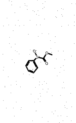 COC(=O)[S+]([O-])c1ccccc1